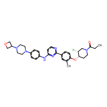 N#CCC(=O)N1CC[C@H](Oc2ccc(-c3nccc(Nc4ccc(N5CCN(C6COC6)CC5)cc4)n3)cc2C#N)[C@H](F)C1